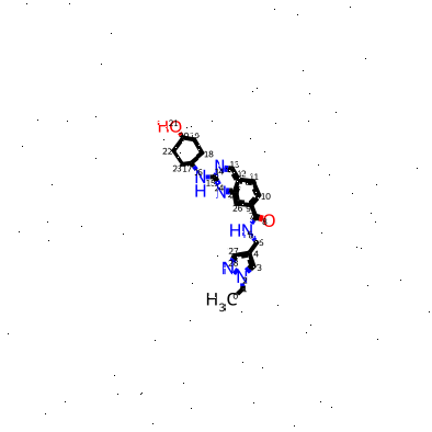 CCn1cc(CNC(=O)c2ccc3cnc(NC4CCC(O)CC4)nc3c2)cn1